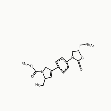 CC(=O)NC[C@H]1CN(c2ccc(C3=CC(CO)N(C(=O)OC(C)(C)C)C3)cc2)C(=O)O1